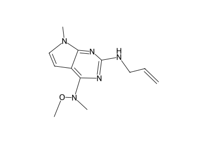 C=CCNc1nc(N(C)OC)c2ccn(C)c2n1